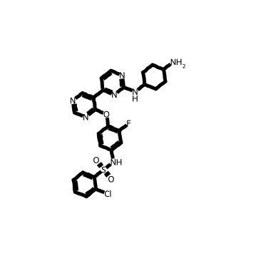 NC1CCC(Nc2nccc(-c3cncnc3Oc3ccc(NS(=O)(=O)c4ccccc4Cl)cc3F)n2)CC1